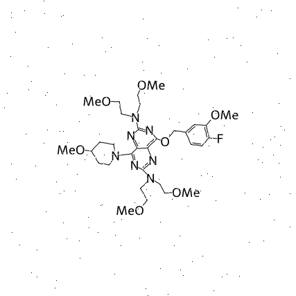 COCCN(CCOC)c1nc(N2CCC(OC)CC2)c2nc(N(CCOC)CCOC)nc(OCc3ccc(F)c(OC)c3)c2n1